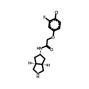 O=C(COc1ccc(Cl)c(F)c1)N[C@@H]1C[C@H]2CNC[C@H]2C1